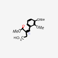 COC(=O)/C(=C\c1cccc(OC)c1OC)CC(=O)O